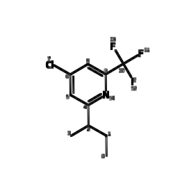 CCC(C)c1cc(Cl)cc(C(F)(F)F)n1